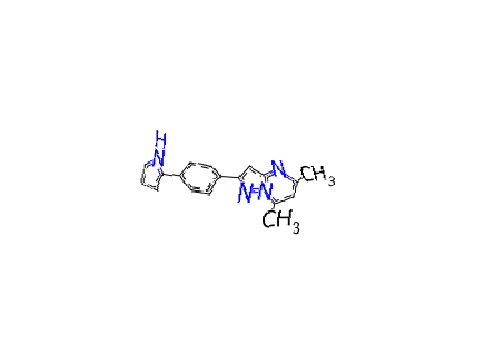 Cc1cc(C)n2nc(-c3ccc(-c4ccc[nH]4)cc3)cc2n1